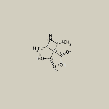 CC1NC(C)C1(C(=O)O)C(=O)O